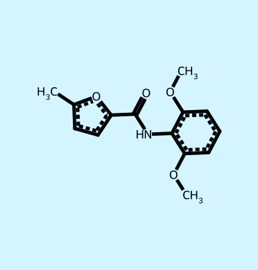 COc1cccc(OC)c1NC(=O)c1ccc(C)o1